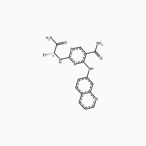 CC[C@@H](Nc1ncc(C(N)=O)c(Nc2ccc3cccnc3c2)n1)C(N)=O